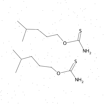 CC(C)CCCOC(N)=S.CC(C)CCCOC(N)=S